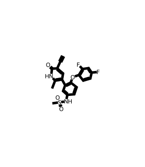 C#Cc1cc(-c2cc(NS(C)(=O)=O)ccc2Oc2ccc(F)cc2F)c(C)[nH]c1=O